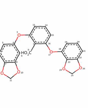 O=C(O)c1c(Oc2ccc3c(c2)OCO3)cccc1Oc1cccc2c1OCO2